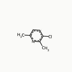 Cc1c[c]c(Cl)c(C)n1